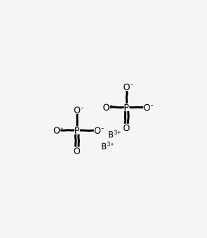 O=P([O-])([O-])[O-].O=P([O-])([O-])[O-].[B+3].[B+3]